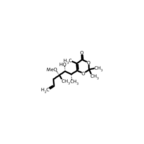 C=CC[C@@](C)(OC)[C@H](O)[C@@H](C)C1=C(C)C(=O)OC(C)(C)O1